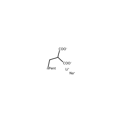 CCCCCCC(C(=O)[O-])C(=O)[O-].[Li+].[Na+]